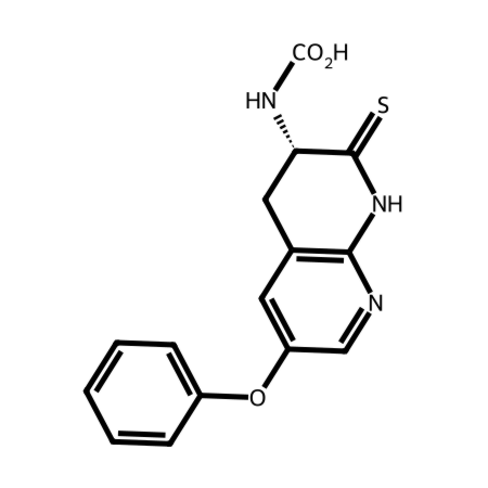 O=C(O)N[C@H]1Cc2cc(Oc3ccccc3)cnc2NC1=S